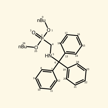 CCCCOP(=O)(CNC(c1ccccc1)(c1ccccc1)c1ccccc1)OCCCC